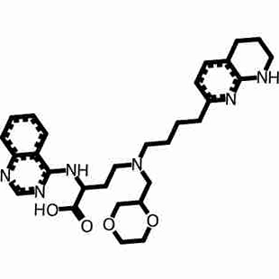 O=C(O)C(CCN(CCCCc1ccc2c(n1)NCCC2)CC1COCCO1)Nc1ncnc2ccccc12